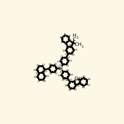 CC1(C)c2ccccc2-c2cc(-c3ccc(N(c4ccc(-c5cccc6ccccc56)cc4)c4ccc(-c5cccc6c5oc5ccccc56)cc4)cc3)ccc21